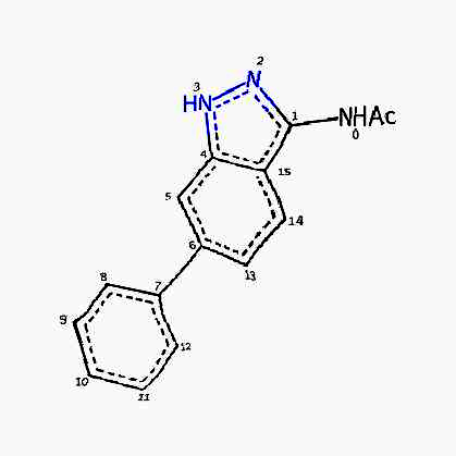 CC(=O)Nc1n[nH]c2cc(-c3ccccc3)ccc12